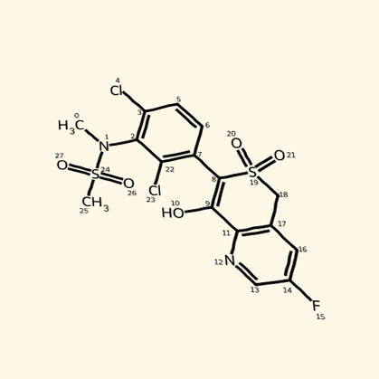 CN(c1c(Cl)ccc(C2=C(O)c3ncc(F)cc3CS2(=O)=O)c1Cl)S(C)(=O)=O